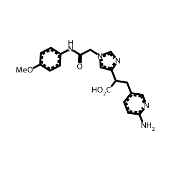 COc1ccc(NC(=O)Cn2cnc(C(Cc3ccc(N)nc3)C(=O)O)c2)cc1